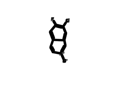 [O-][n+]1ccc2cc(F)c(Cl)cc2c1